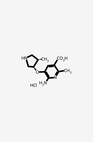 Cc1nc(N)c(O[C@H]2CNC[C@@H]2C)cc1C(=O)O.Cl